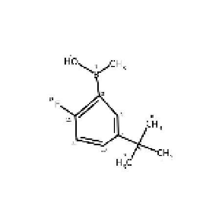 CB(O)c1cc(C(C)(C)C)ccc1F